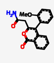 COc1ccccc1-c1c(CC(N)=O)oc(=O)c2ccccc12